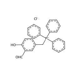 O=Cc1cc(C[P+](c2ccccc2)(c2ccccc2)c2ccccc2)ccc1O.[Cl-]